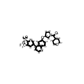 CS(=O)(=O)c1ncc(-c2ccnc3ccc(O[C@H]4CCN(C(=O)C5CCOCC5)C4)cc23)cc1C(F)(F)F